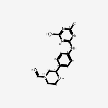 Nc1nc(Cl)nc(Nc2ccc(C3CN(C=O)CCO3)cc2)n1